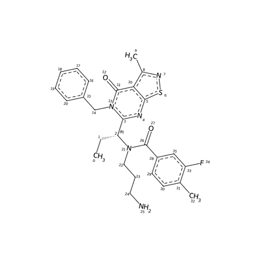 CC[C@H](c1nc2snc(C)c2c(=O)n1Cc1ccccc1)N(CCCN)C(=O)c1ccc(C)c(F)c1